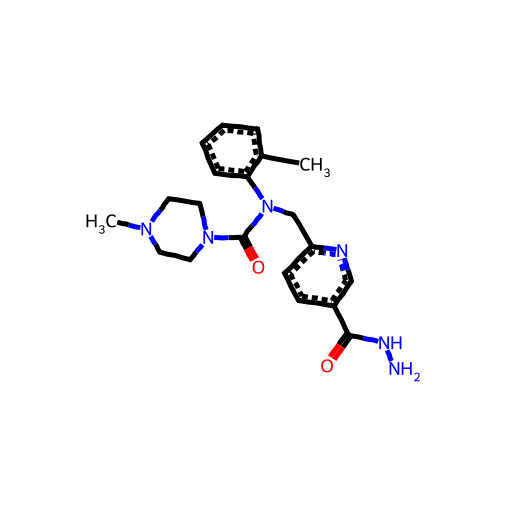 Cc1ccccc1N(Cc1ccc(C(=O)NN)cn1)C(=O)N1CCN(C)CC1